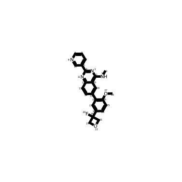 CNc1nc(-c2cccnc2)nc2ccc(-c3cc(C4(F)COC4)ccc3OC)cc12